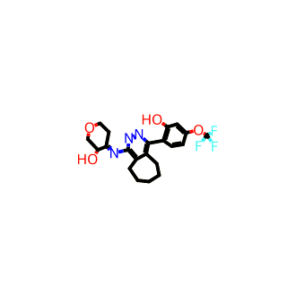 Oc1cc(OC(F)(F)F)ccc1-c1nnc(/N=C2\CCOCC2O)c2c1CCCCC2